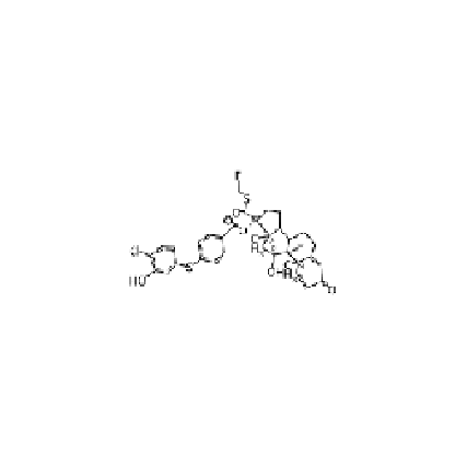 C[C@]12C=CC(=O)C=C1CCC1C3CC[C@](OC(=O)c4ccc(Sc5ccc(Cl)c(O)c5)cc4)(C(=O)SCF)[C@@]3(C)C[C@H](O)C12F